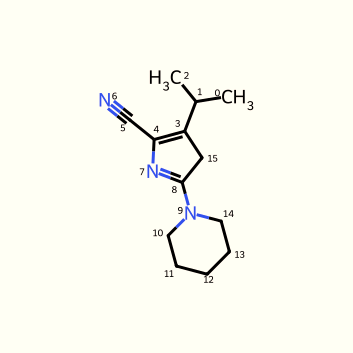 CC(C)C1=C(C#N)N=C(N2CCCCC2)C1